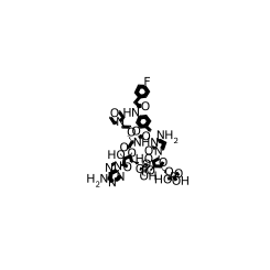 Nc1ccn([C@@H]2O[C@H](COP(=O)(O)O)[C@@H](OP(=O)(O)OC[C@H]3O[C@@H](n4cnc5c(N)ncnc54)[C@H](O)[C@@H]3OC(=O)[C@H](COCCN3CCOCC3)NC(=O)OCc3ccc(NC(=O)Cc4ccc(F)cc4)cc3)[C@H]2O)c(=O)n1